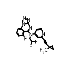 Fc1cccc2c1c(N(CC(F)F)c1ccnc(C#CC3(C(F)(F)F)CC3)c1)nc1nncn12